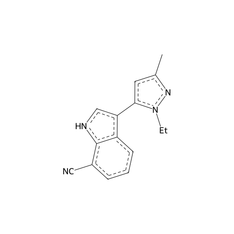 CCn1nc(C)cc1-c1c[nH]c2c(C#N)cccc12